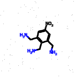 NCc1cc([N+](=O)[O-])cc(CN)c1CN